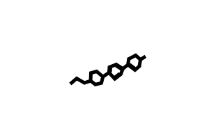 CCCC1CCC(c2ccc(C3=CCC(C)CC3)cc2)CC1